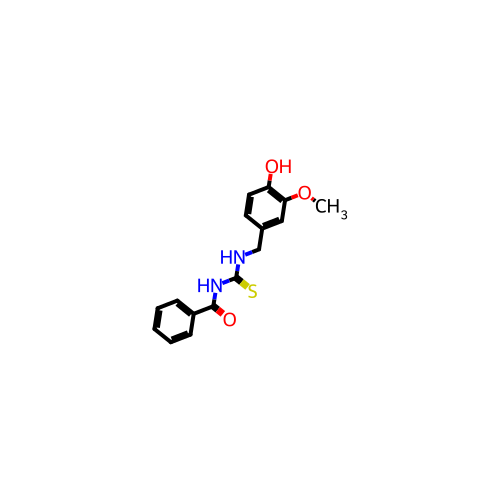 COc1cc(CNC(=S)NC(=O)c2ccccc2)ccc1O